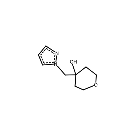 OC1(Cn2cccn2)CCOCC1